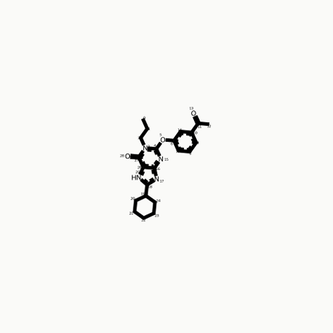 CCCn1c(Oc2cccc(C(C)=O)c2)nc2nc(C3CCCCC3)[nH]c2c1=O